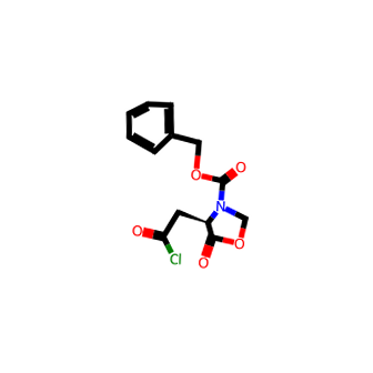 O=C(Cl)C[C@@H]1C(=O)OCN1C(=O)OCc1ccccc1